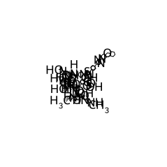 CNCCNC(=O)C[C@@H](O)[C@H](NC(=O)[C@@H](NC(=O)[C@@H]1C[C@@H](O)CN1C(=O)[C@@H](NC(=O)[C@H](C[C@@H](O)CNCO)NCC1CCN(c2nnc(-c3ccc(-c4cnc(N5CCC(OC6CCCCC6)CC5)nc4)cc3)s2)CC1)[C@@H](C)O)[C@H](O)Cc1ccc(O)c(OS(=O)(=O)O)c1)C(=O)N1CC[C@@H](C)C1